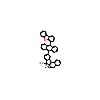 CC1(C)c2ccc(-c3c4ccccc4c(-c4cccc5c4oc4ccccc45)c4ccccc34)cc2-c2c1ccc1ccccc21